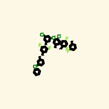 [CH2]c1cc(Cl)cc(Cl)c1.[CH2]c1cc(F)cc(F)c1.[CH2]c1ccc(Cl)cc1.[CH2]c1ccc(F)cc1F.[CH2]c1cccc(Cl)c1.[CH2]c1cccc(F)c1.[c]1ccccc1